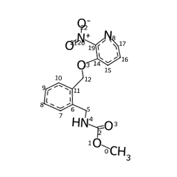 COC(=O)NCc1ccccc1COc1cccnc1[N+](=O)[O-]